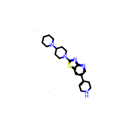 C1=C(c2cnc3nc(N4CCC(N5CCCCC5)CC4)sc3c2)CCNC1